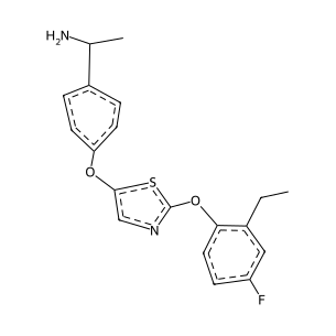 CCc1cc(F)ccc1Oc1ncc(Oc2ccc(C(C)N)cc2)s1